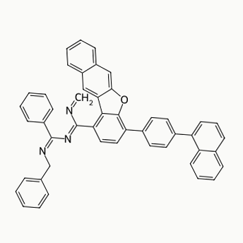 C=N/C(=N\C(=N/Cc1ccccc1)c1ccccc1)c1ccc(-c2ccc(-c3cccc4ccccc34)cc2)c2oc3cc4ccccc4cc3c12